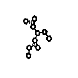 c1ccc(-c2cccc(-c3cc(-c4ccc5c(c4)c4ccccc4n5-c4ccccc4)cc(-c4ccc5c(c4)c4ccccc4n5-c4cccc(-c5ccccc5)c4)c3)c2)cc1